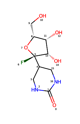 O=C1NCC([C@]2(F)O[C@H](CO)[C@H](O)[C@@H]2O)CN1